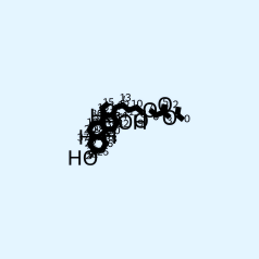 CC(C)OC(=O)COC(=O)CC[C@@H](C)[C@H]1CC[C@H]2[C@@H]3CC[C@@H]4C[C@H](O)CC[C@]4(C)[C@H]3C[C@H](O)[C@]12C